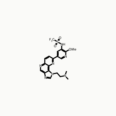 COc1ncc(-c2ccc3ncc4ncn(CCN(C)C)c4c3n2)cc1NS(=O)(=O)C(F)(F)F